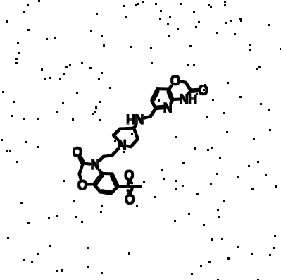 CS(=O)(=O)c1ccc2c(c1)N(CCN1CCC(NCc3ccc4c(n3)NC(=O)CO4)CC1)C(=O)CO2